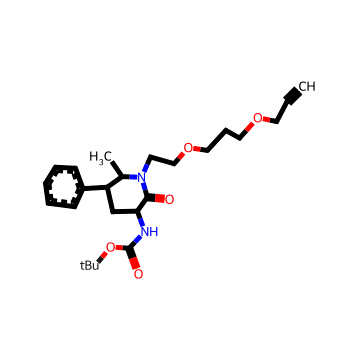 C#CCOCCCOCCN1C(=O)C(NC(=O)OC(C)(C)C)CC(c2ccccc2)C1C